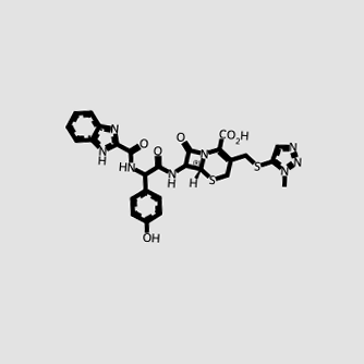 Cn1nncc1SCC1=C(C(=O)O)N2C(=O)C(NC(=O)C(NC(=O)c3nc4ccccc4[nH]3)c3ccc(O)cc3)[C@H]2SC1